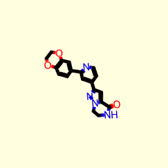 O=C1NCCn2nc(-c3ccnc(-c4ccc5c(c4)OCCO5)c3)cc21